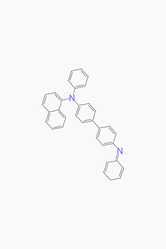 C1=CC(=Nc2ccc(-c3ccc(N(c4ccccc4)c4cccc5ccccc45)cc3)cc2)C=CC1